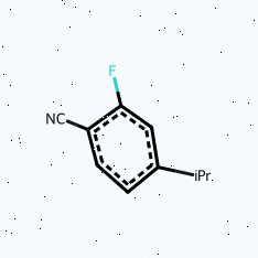 CC(C)c1ccc(C#N)c(F)c1